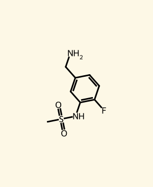 CS(=O)(=O)Nc1cc(CN)ccc1F